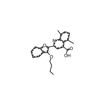 CCCCOc1c(-c2cc(C(=O)O)c3c(C)ccc(C)c3n2)oc2ccccc12